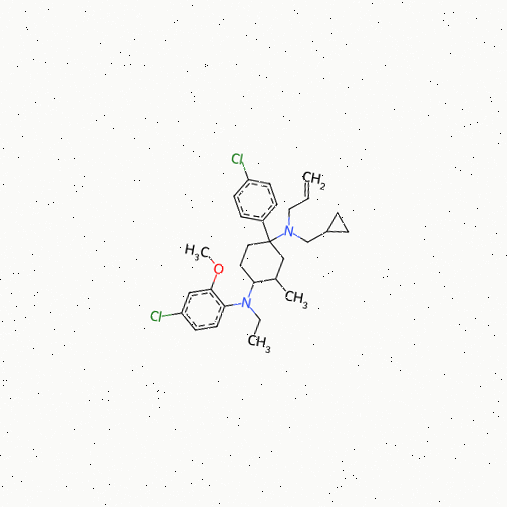 C=CCN(CC1CC1)C1(c2ccc(Cl)cc2)CCC(N(CC)c2ccc(Cl)cc2OC)C(C)C1